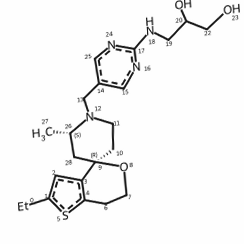 CCc1cc2c(s1)CCO[C@@]21CCN(Cc2cnc(NCC(O)CO)nc2)[C@@H](C)C1